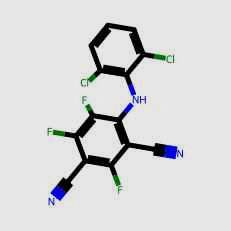 N#Cc1c(F)c(F)c(Nc2c(Cl)cccc2Cl)c(C#N)c1F